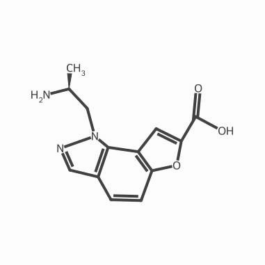 C[C@H](N)Cn1ncc2ccc3oc(C(=O)O)cc3c21